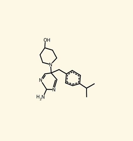 CC(C)c1ccc(CC2(N3CCC(O)CC3)C=NC(N)N=C2)cc1